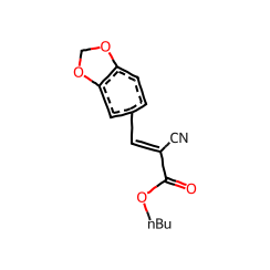 CCCCOC(=O)/C(C#N)=C/c1ccc2c(c1)OCO2